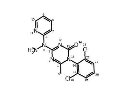 Cc1nc(N(N)c2ccccn2)nc(=O)n1-c1c(Cl)cccc1Cl